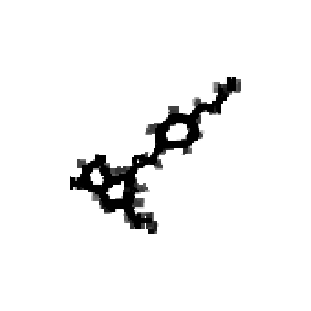 [N-]=[N+]=NCc1ccc(COc2nc(N)nc3[nH]cnc23)cc1